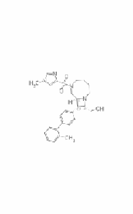 Cc1ccccc1-c1ccc([C@H]2[C@@H](CO)N3CCCCN(S(=O)(=O)c4cn(C)cn4)C[C@H]23)cc1